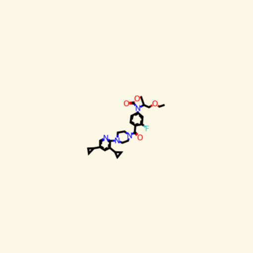 CCOCC1COC(=O)N1c1ccc(C(=O)N2CCN(c3ncc(C4CC4)cc3C3CC3)CC2)c(F)c1